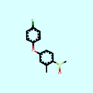 Cc1cc(Oc2ccc(Cl)cc2)ccc1[S+](C)[O-]